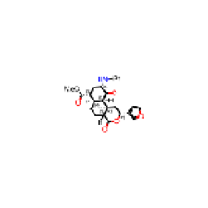 COC(=O)[C@@H]1C[C@H](NC(C)C)C(=O)[C@H]2[C@@]1(C)CC[C@H]1C(=O)O[C@@H](c3ccoc3)C[C@]21C